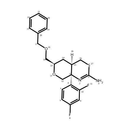 NC1=N[C@@]2(c3ccc(F)cc3F)CO[C@@H](COCc3ccccc3)C[C@H]2CS1